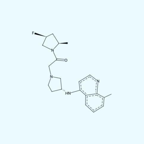 Cc1cccc2c(N[C@@H]3CCN(CC(=O)N4C[C@@H](F)C[C@H]4C)C3)ccnc12